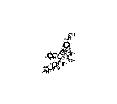 Cc1nc(CN2CCN([C@H](C(=O)N[C@@H](Cc3ccccc3)[C@@H](O)CN([C@H](CO)C(C)C)S(=O)(=O)c3ccc(C=NO)cc3)C(C)C)C2=O)cs1